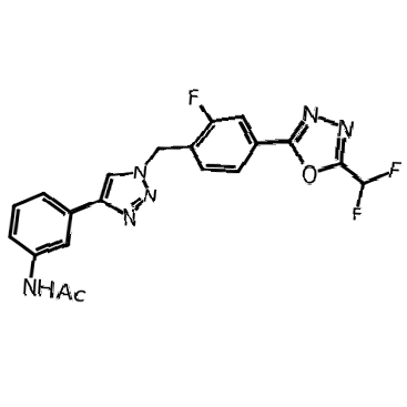 CC(=O)Nc1cccc(-c2cn(Cc3ccc(-c4nnc(C(F)F)o4)cc3F)nn2)c1